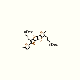 CCCCCCCCCCCCCc1c(C)sc2c1sc1c3sc(-c4ccc(C)s4)c(CCCCCCCCCCCCC)c3sc21